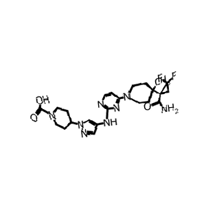 CC1([C@]2(C(N)=O)CC2(F)F)CCN(c2ccnc(Nc3cnn(C4CCN(C(=O)O)CC4)c3)n2)CC1